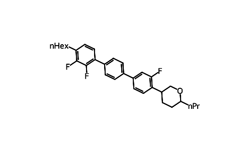 CCCCCCc1ccc(-c2ccc(-c3ccc(C4CCC(CCC)OC4)c(F)c3)cc2)c(F)c1F